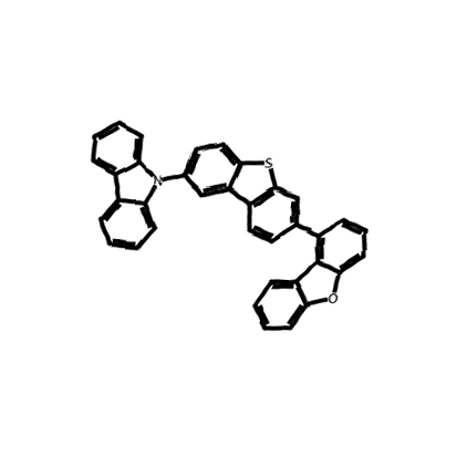 c1ccc2c(c1)oc1cccc(-c3ccc4c(c3)sc3ccc(-n5c6ccccc6c6ccccc65)cc34)c12